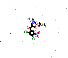 CCOC(=O)C(=CN(C)C)C(=O)c1cc([N+](=O)[O-])c(Cl)cc1Cl